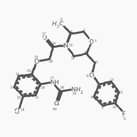 CC1COC(COc2ccc(F)cc2)CN1C(=O)COc1ccc(Cl)cc1NC(N)=O